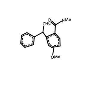 CNC(=O)c1ccc(OC)cc1C(C=O)c1ccccc1